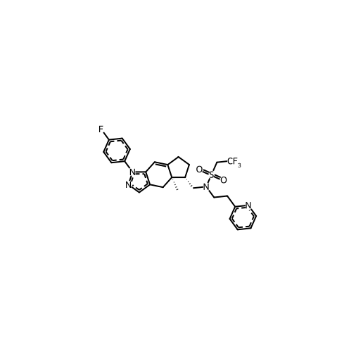 C[C@]12Cc3cnn(-c4ccc(F)cc4)c3C=C1CC[C@@H]2CN(CCc1ccccn1)S(=O)(=O)CC(F)(F)F